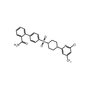 NC(=O)c1ccccc1-c1ccc(S(=O)(=O)N2CCN(c3cc(C(F)(F)F)cc(Cl)n3)CC2)cc1